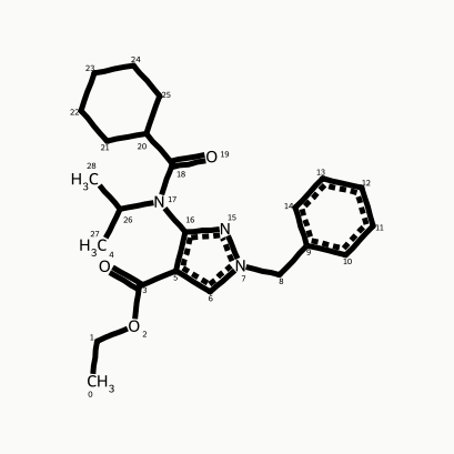 CCOC(=O)c1cn(Cc2ccccc2)nc1N(C(=O)C1CCCCC1)C(C)C